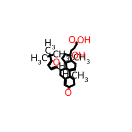 CC(C)(C)c1ccc([C@@H]2CC3=CC(=O)CC[C@]3(C)C3=CC[C@@]4(C)[C@@H](CC[C@@]4(O)CCC(=O)O)[C@@H]32)o1